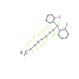 FC(F)(F)C(F)(F)C(F)(F)C(F)(F)C(F)(F)C(F)(F)C(F)(F)C(F)(F)C(F)(c1ccccc1I)c1ccccc1I